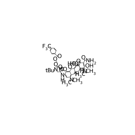 CN(C)c1cc(NC(=O)CN(C(=O)OCOC(=O)c2ccc(C(F)(F)F)cc2)C(C)(C)C)c(O)c2c1C[C@H]1C[C@H]3[C@H](N(C)C)C(O)=C(C(N)=O)C(=O)[C@@]3(O)C(O)=C1C2=O